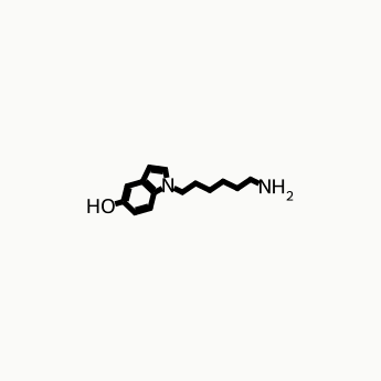 NCCCCCCn1ccc2cc(O)ccc21